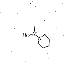 CN(O)N1CCCCC1